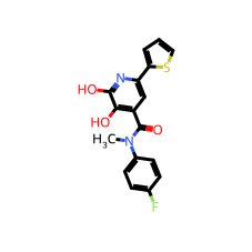 CN(C(=O)c1cc(-c2cccs2)nc(O)c1O)c1ccc(F)cc1